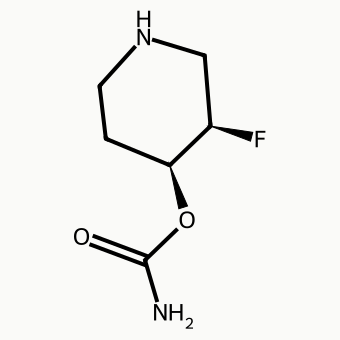 NC(=O)O[C@H]1CCNC[C@H]1F